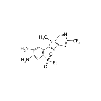 CCS(=O)(=O)c1cc(N)c(N)cc1-c1nc2cc(C(F)(F)F)ncc2n1C